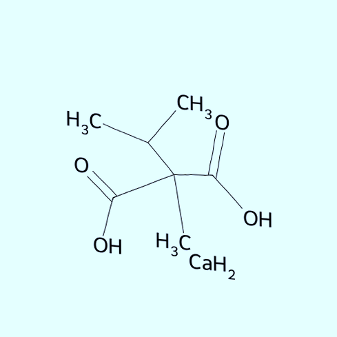 CC(C)C(C)(C(=O)O)C(=O)O.[CaH2]